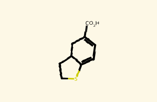 O=C(O)C1=CC=C2SCCC2C1